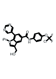 CC(C)n1cc(CO)c2cc(C(=O)Nc3ccc(OC(F)(F)Cl)cc3)cc(-c3cncnc3)c21